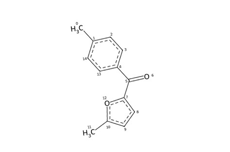 Cc1ccc(C(=O)c2ccc(C)o2)cc1